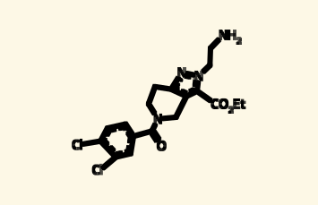 CCOC(=O)c1c2c(nn1CCN)CCN(C(=O)c1ccc(Cl)c(Cl)c1)C2